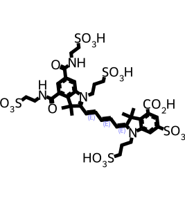 CC1(C)C(/C=C/C=C/C=C2/N(CCCS(=O)(=O)O)c3cc(S(=O)(=O)O)cc(C(=O)O)c3C2(C)C)=[N+](CCCS(=O)(=O)O)c2cc(C(=O)NCCS(=O)(=O)O)cc(C(=O)NCCS(=O)(=O)O)c21